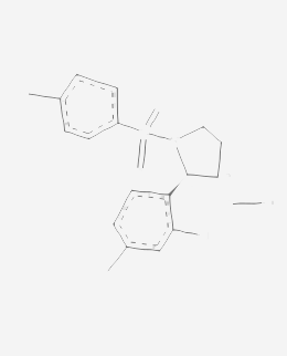 Cc1ccc(S(=O)(=O)N2CC[C@H](CO)[C@H]2c2ccc(F)cc2C)cc1